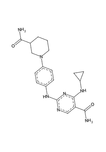 NC(=O)c1cnc(Nc2ccc(N3CCCC(C(N)=O)C3)cc2)nc1NC1CC1